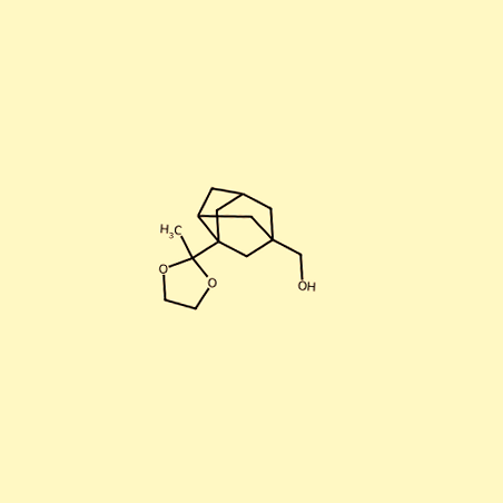 CC1(C23CC4CC2CC(CO)(C4)C3)OCCO1